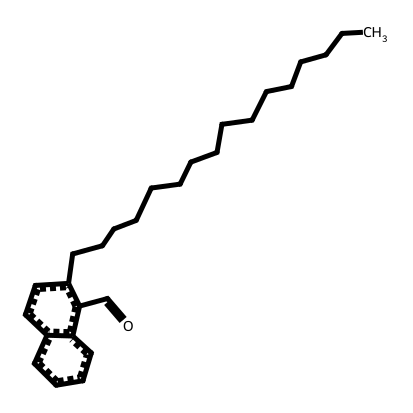 CCCCCCCCCCCCCCCCc1ccc2ccccc2c1C=O